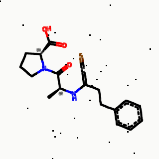 C[C@H](NC(=C=S)CCc1ccccc1)C(=O)N1CCC[C@H]1C(=O)O